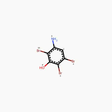 Nc1cc(Br)c(Br)c(O)c1Br